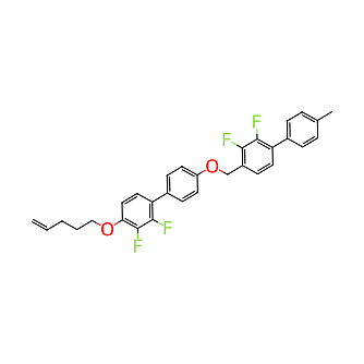 C=CCCCOc1ccc(-c2ccc(OCc3ccc(-c4ccc(C)cc4)c(F)c3F)cc2)c(F)c1F